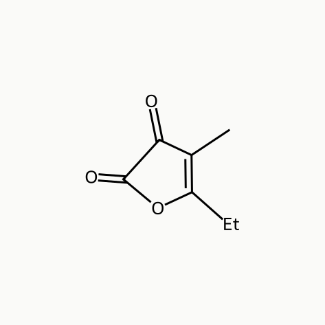 CCC1=C(C)C(=O)C(=O)O1